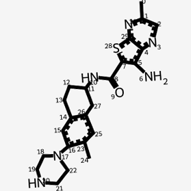 Cc1cnc2c(N)c(C(=O)NC3CCc4cc(N5CCNCC5)c(C)cc4C3)sc2n1